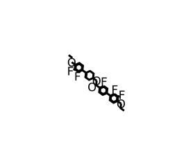 CCOc1ccc(C2=CCC(OC(=O)c3ccc(-c4ccc(OCC)c(F)c4F)cc3F)CC2)c(F)c1F